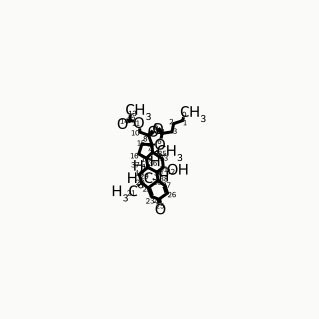 CCCCC(=O)O[C@]1(C(=O)COC(C)=O)CC[C@H]2[C@@H]3C[C@H](C)C4=CC(=O)C=C[C@]4(C)[C@H]3[C@@H](O)C[C@@]21C